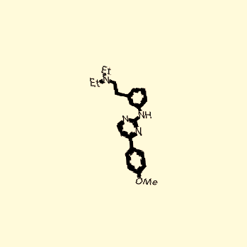 CCN(CC)CCc1cccc(Nc2nccc(-c3ccc(OC)cc3)n2)c1